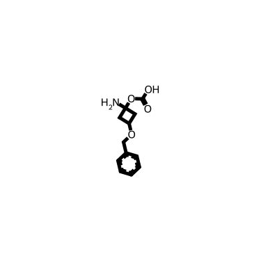 NC1(OC(=O)O)CC(OCc2ccccc2)C1